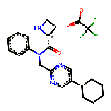 O=C(O)C(F)(F)F.O=C([C@H]1CCN1)N(Cc1ncc(C2CCCCC2)cn1)c1ccccc1